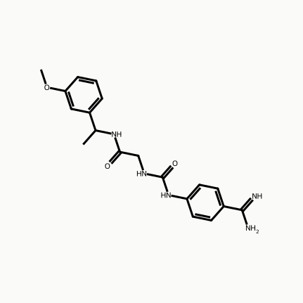 COc1cccc(C(C)NC(=O)CNC(=O)Nc2ccc(C(=N)N)cc2)c1